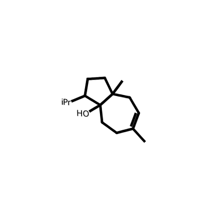 CC1=CCC2(C)CCC(C(C)C)C2(O)CC1